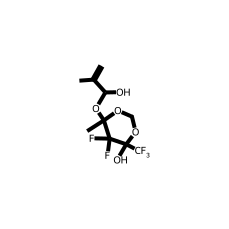 C=C(C)C(O)OC1(C)OCOC(O)(C(F)(F)F)C1(F)F